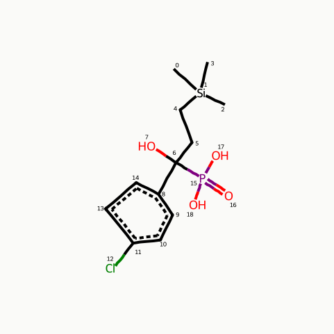 C[Si](C)(C)CCC(O)(c1ccc(Cl)cc1)P(=O)(O)O